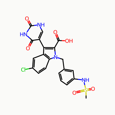 CS(=O)(=O)Nc1cccc(Cn2c(C(=O)O)c(-c3c[nH]c(=O)[nH]c3=O)c3cc(Cl)ccc32)c1